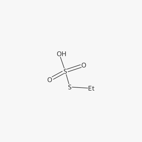 [CH2]CSS(=O)(=O)O